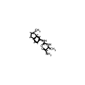 CC(NC(=O)Nc1ccc2c(c1)N(C)CC2)C(N)=O